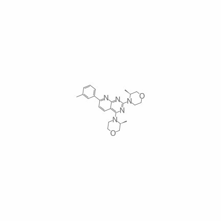 Cc1cccc(-c2ccc3c(N4CCOC[C@@H]4C)nc(N4CCOC[C@@H]4C)nc3n2)c1